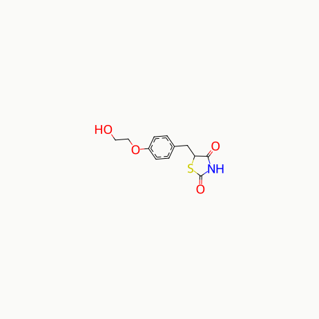 O=C1NC(=O)C(Cc2ccc(OCCO)cc2)S1